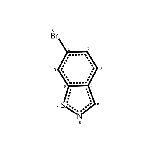 Brc1ccc2[c]nsc2c1